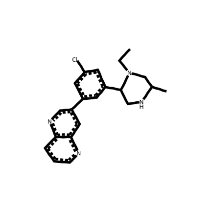 CCN1CC(C)NCC1c1cc(Cl)cc(-c2cnc3cccnc3c2)c1